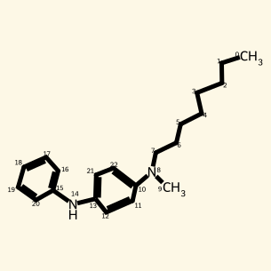 CCCCCCCCN(C)c1ccc(Nc2ccccc2)cc1